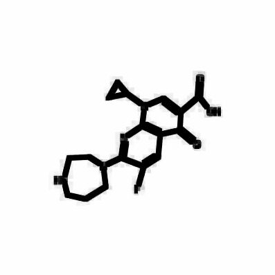 O=C(O)c1cn(C2CC2)c2nc(N3CCCNCC3)c(F)cc2c1=O